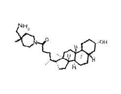 C[C@H](CCC(=O)N1CCC(C)(CN)CC1)[C@H]1CC[C@H]2[C@@H]3CC[C@H]4C[C@@H](O)CC[C@]4(C)[C@H]3CC[C@]12C